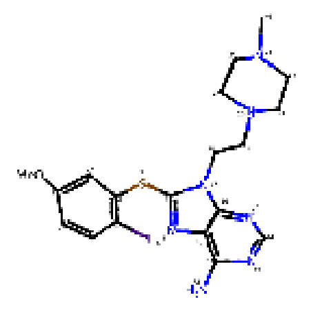 COc1ccc(I)c(Sc2nc3c(N)ncnc3n2CCN2CCN(C)CC2)c1